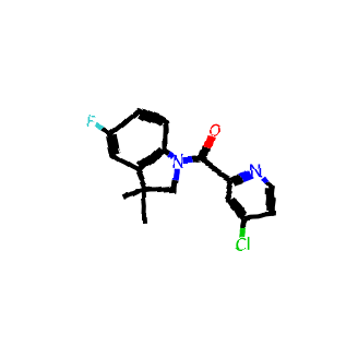 CC1(C)CN(C(=O)c2cc(Cl)ccn2)c2ccc(F)cc21